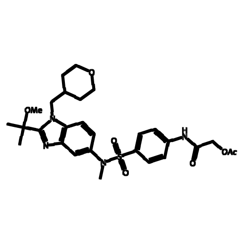 COC(C)(C)c1nc2cc(N(C)S(=O)(=O)c3ccc(NC(=O)COC(C)=O)cc3)ccc2n1CC1CCOCC1